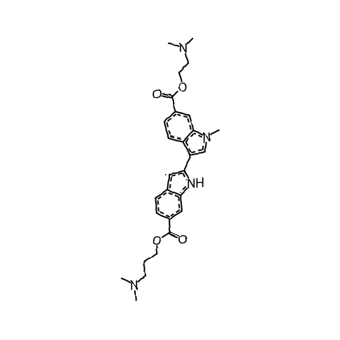 CN(C)CCCOC(=O)c1ccc2[c]c(-c3cn(C)c4cc(C(=O)OCCN(C)C)ccc34)[nH]c2c1